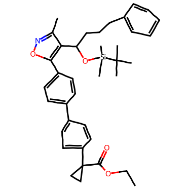 CCOC(=O)C1(c2ccc(-c3ccc(-c4onc(C)c4C(CCCc4ccccc4)O[Si](C)(C)C(C)(C)C)cc3)cc2)CC1